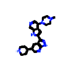 CN1CCN(c2cncc3[nH]c(-c4n[nH]c5ncc(C6C=CNCC6)cc45)cc23)CC1